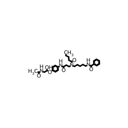 CCCCC(=O)N(CCCCCNC(=O)c1ccccc1)CCC(=O)Nc1ccc(OC(O)CNC(C)=O)cc1